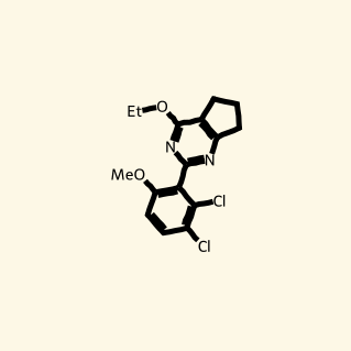 CCOc1nc(-c2c(OC)ccc(Cl)c2Cl)nc2c1CCC2